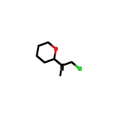 C[SiH](CCl)C1CCCCO1